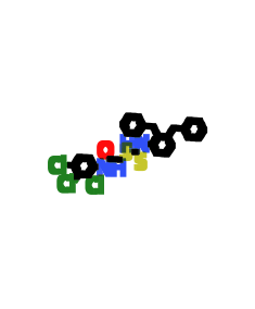 O=C(CSC(=S)Nc1cccc(Cc2ccccc2)c1Cc1ccccc1)Nc1ccc(Cl)c(Cl)c1Cl